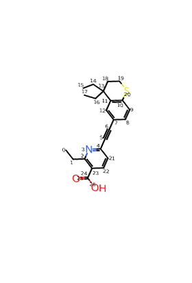 CCc1nc(C#Cc2ccc3c(c2)C(CC)(CC)CCS3)ccc1C(=O)O